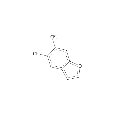 FC(F)(F)c1cc2oc[c]c2cc1Cl